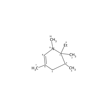 CCC1(C)C(C)CC(C)=CN1C